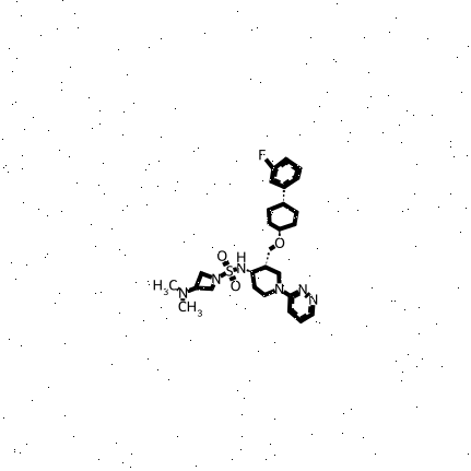 CN(C)C1CN(S(=O)(=O)N[C@H]2CCN(c3cccnn3)C[C@H]2CO[C@H]2CC[C@@H](c3cccc(F)c3)CC2)C1